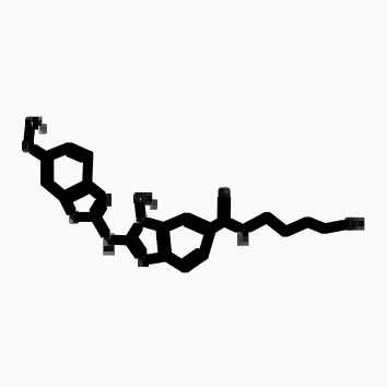 Cn1c(Nc2nc3ccc(OC(F)(F)F)cc3s2)nc2ccc(C(=O)NCCCCO)cc21